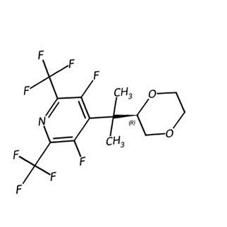 CC(C)(c1c(F)c(C(F)(F)F)nc(C(F)(F)F)c1F)[C@@H]1COCCO1